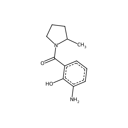 CC1CCCN1C(=O)c1cccc(N)c1O